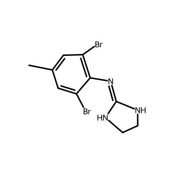 Cc1cc(Br)c(N=C2NCCN2)c(Br)c1